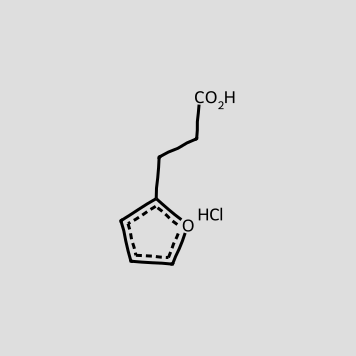 Cl.O=C(O)CCc1ccco1